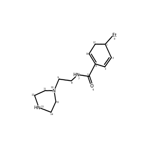 CCC1C=CC(C(=O)NCCN2CCNCC2)=CC1